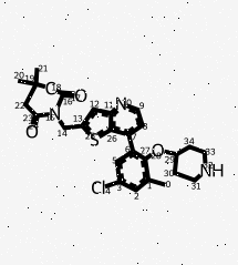 Cc1cc(Cl)cc(-c2ccnc3cc(CN4C(=O)CC(C)(C)CC4=O)sc23)c1OC1CCNCC1